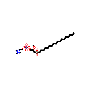 CCCCCCCCCCCCCCCCCCS(=O)(=O)CC(COP(=O)(O)OCC[N+](C)(C)C)OC